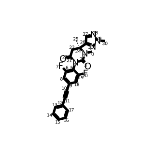 CN1C(=O)N(c2c(F)cc(C#Cc3ccccc3)cc2F)C(=O)C[C@@]1(C)c1cnn(C)n1